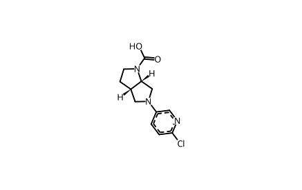 O=C(O)N1CC[C@H]2CN(c3ccc(Cl)nc3)C[C@H]21